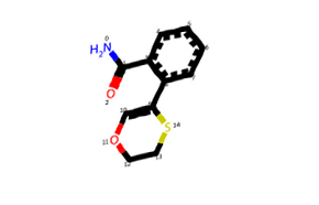 NC(=O)c1ccccc1C1=COCCS1